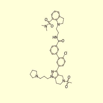 CN(C)S(=O)(=O)c1cccc2c1N(CCNC(=O)c1cccc(-c3cc(-c4nn(CCCN5CCCC5)c5c4CN(S(C)(=O)=O)CC5)ccc3Cl)c1)CC2